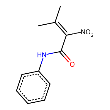 CC(C)=C(C(=O)Nc1ccccc1)[N+](=O)[O-]